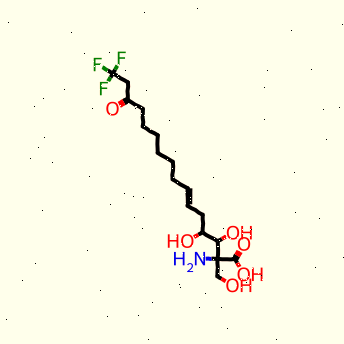 NC(CO)(C(=O)O)C(O)C(O)C/C=C/CCCCCCC(=O)CC(F)(F)F